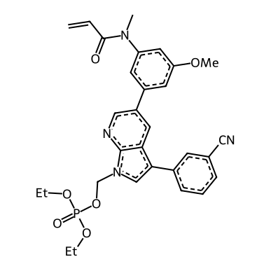 C=CC(=O)N(C)c1cc(OC)cc(-c2cnc3c(c2)c(-c2cccc(C#N)c2)cn3COP(=O)(OCC)OCC)c1